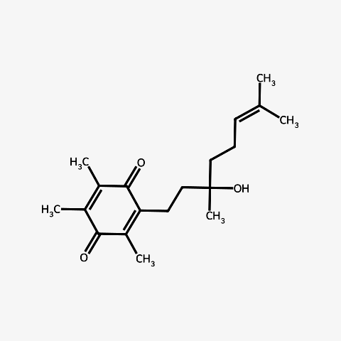 CC(C)=CCCC(C)(O)CCC1=C(C)C(=O)C(C)=C(C)C1=O